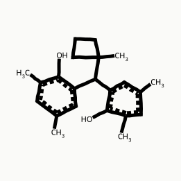 Cc1cc(C)c(O)c(C(c2cc(C)cc(C)c2O)C2(C)CCC2)c1